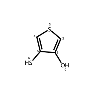 Oc1cscc1S